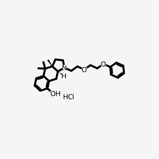 CC1(C)c2cccc(O)c2C[C@@H]2N(CCOCCOc3ccccc3)CC[C@]21C.Cl